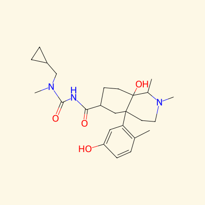 Cc1ccc(O)cc1C12CCN(C)C(C)C1(O)CCC(C(=O)NC(=O)N(C)CC1CC1)C2